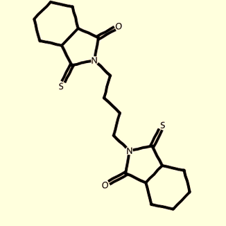 O=C1C2CCCCC2C(=S)N1CCCCN1C(=O)C2CCCCC2C1=S